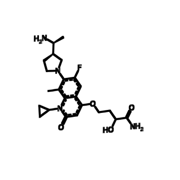 Cc1c(N2CC[C@@H]([C@H](C)N)C2)c(F)cc2c(OCCC(O)C(N)=O)cc(=O)n(C3CC3)c12